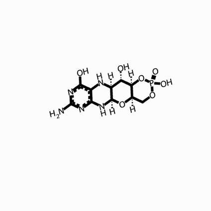 Nc1nc(O)c2c(n1)N[C@@H]1O[C@@H]3COP(=O)(O)O[C@@H]3[C@@H](O)[C@@H]1N2